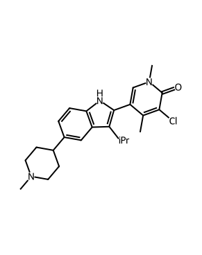 Cc1c(-c2[nH]c3ccc(C4CCN(C)CC4)cc3c2C(C)C)cn(C)c(=O)c1Cl